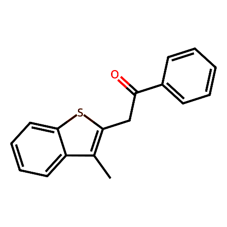 Cc1c(CC(=O)c2ccccc2)sc2ccccc12